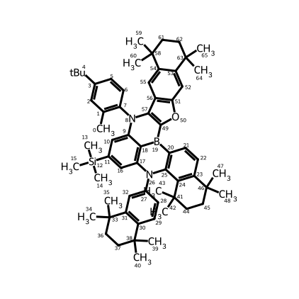 Cc1cc(C(C)(C)C)ccc1N1c2cc([Si](C)(C)C)cc3c2B(c2ccc4c(c2N3c2ccc3c(c2)C(C)(C)CCC3(C)C)C(C)(C)CCC4(C)C)c2oc3cc4c(cc3c21)C(C)(C)CCC4(C)C